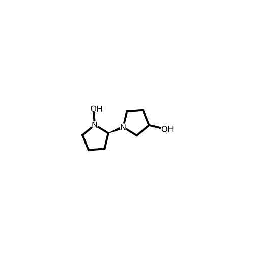 OC1CCN([C@H]2CCCN2O)C1